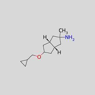 CC1(N)C[C@H]2CC(OCC3CC3)C[C@H]2C1